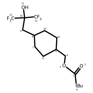 CC(C)(C)C(=O)OCC1CCC(CC(O)(C(F)(F)F)C(F)(F)F)CC1